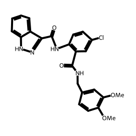 COc1ccc(CNC(=O)c2cc(Cl)ccc2NC(=O)c2n[nH]c3ccccc23)cc1OC